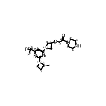 C[C@H]1CCN1c1nc(N2CC(OCC(=O)N3CCNCC3)C2)cc(C(F)(F)F)n1